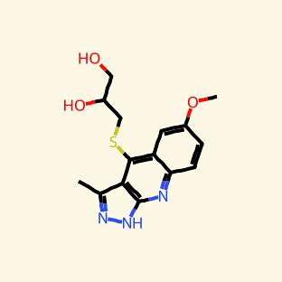 COc1ccc2nc3[nH]nc(C)c3c(SCC(O)CO)c2c1